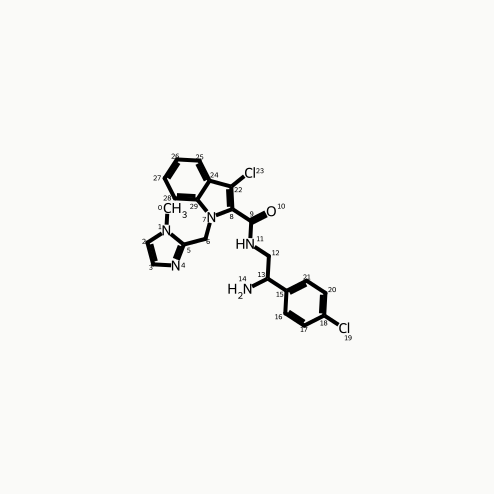 Cn1ccnc1Cn1c(C(=O)NCC(N)c2ccc(Cl)cc2)c(Cl)c2ccccc21